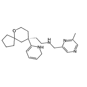 Cc1cncc(CNCC[C@@]2(C3=CC=CCN3)CCOC3(CCCC3)C2)n1